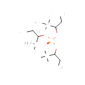 CCC(OP(=O)(OC(CC)[Si](C)(C)C)OC(CC)[Si](C)(C)C)[Si](C)(C)C